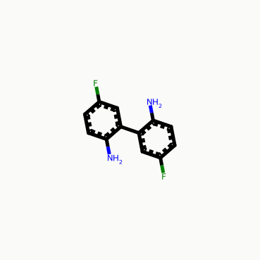 Nc1ccc(F)cc1-c1cc(F)ccc1N